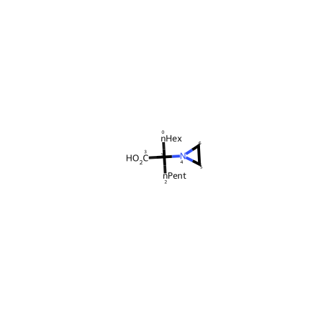 CCCCCCC(CCCCC)(C(=O)O)N1CC1